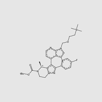 Cc1cn(COCC[Si](C)(C)C)c2nccc(-c3c(-c4ccc(F)cc4)nn4c3[C@H](C)N(C(=O)OC(C)(C)C)CC4)c12